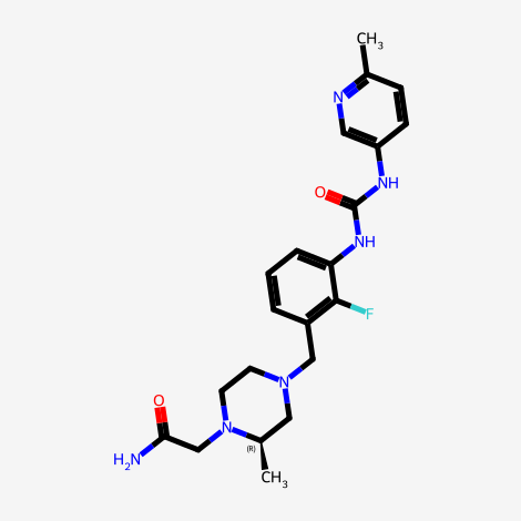 Cc1ccc(NC(=O)Nc2cccc(CN3CCN(CC(N)=O)[C@H](C)C3)c2F)cn1